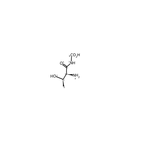 C[C@@H](O)[C@H](N)C(=O)NC(=O)O